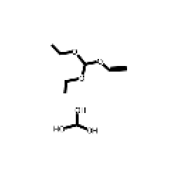 C=COC(OCC)OCC.OC(O)O